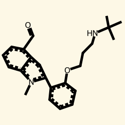 Cn1c(-c2ccccc2OCCCNC(C)(C)C)cc2c(C=O)cccc21